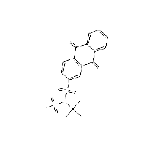 CC(C)(C)N(S(=O)(=O)O)S(=O)(=O)c1ccc2c(c1)C(=O)c1ccccc1C2=O